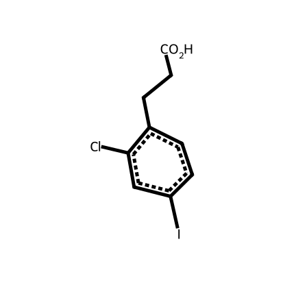 O=C(O)CCc1ccc(I)cc1Cl